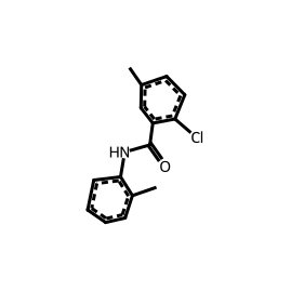 Cc1ccc(Cl)c(C(=O)Nc2ccccc2C)c1